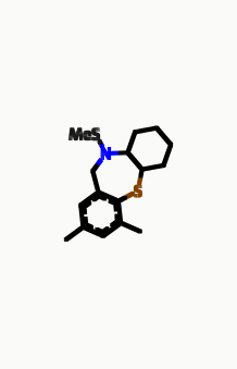 CSN1Cc2cc(C)cc(C)c2SC2CCCCC21